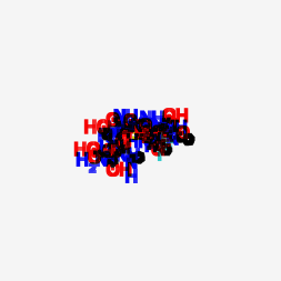 CCCC[C@@H](C(=O)N1C[C@H](O)C[C@@H]1C(=O)N[C@@H](CC(=O)O)C(=O)N[C@H](C(=O)N(C)C(C=O)Cc1ccccc1)C(C)C)N(C)C(=O)[C@H](Cc1ccccc1)N(C)C(=O)[C@H](Cc1cc(F)c(F)c(F)c1)NC(=O)CSC[C@H](NC(=O)[C@H](CCC(N)=O)NC(=O)[C@H](Cc1ccc(O)cc1)NC(=O)[C@H](Cc1c[nH]c2ccccc12)NC(=O)[C@H]1C[C@@H](O)CN1C(=O)[C@@H](N)CC(=O)O)C(=O)NCC(N)=O